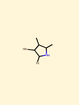 CCCC1C(CC)NC(C)C1C